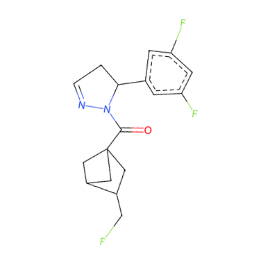 O=C(N1N=CCC1c1cc(F)cc(F)c1)C12CC(CF)C(C1)C2